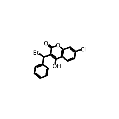 CCC(c1ccccc1)c1c(O)c2ccc(Cl)cc2oc1=O